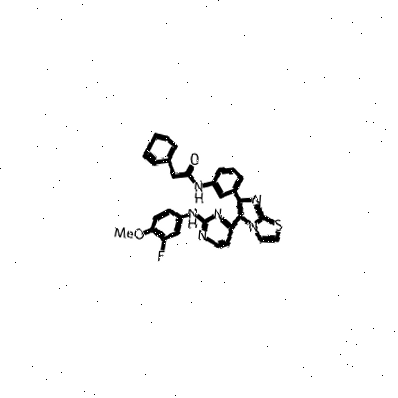 COc1ccc(Nc2nccc(-c3c(-c4cccc(NC(=O)Cc5ccccc5)c4)nc4sccn34)n2)cc1F